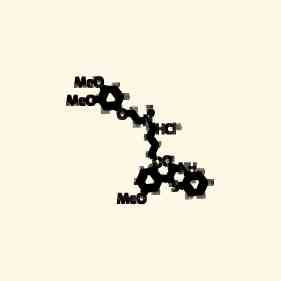 COc1ccc(OCCCCN(C)CCOc2ccc(OC)c(OC)c2)c(C2Sc3ccccc3NC2=O)c1.Cl